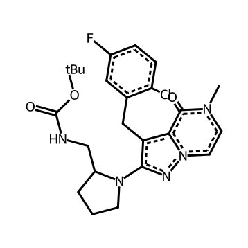 Cn1ccn2nc(N3CCCC3CNC(=O)OC(C)(C)C)c(Cc3cc(F)ccc3Cl)c2c1=O